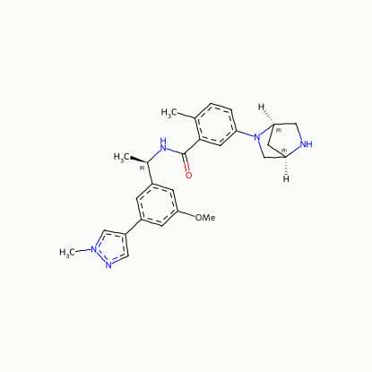 COc1cc(-c2cnn(C)c2)cc([C@@H](C)NC(=O)c2cc(N3C[C@H]4C[C@@H]3CN4)ccc2C)c1